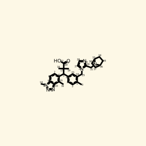 Cc1ccc(C(c2ccc3c(nnn3C)c2C)C(C)(C)C(=O)O)cc1Cn1ccnc1CN1C2CCC1CC2